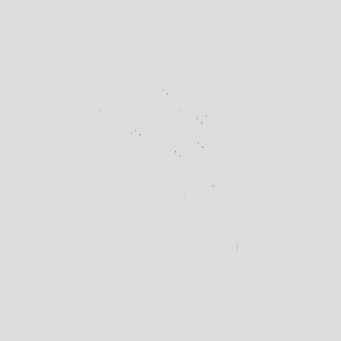 Fc1ccc(Cn2nnc3ncc(Br)nc32)cc1